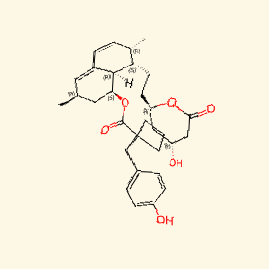 C[C@H]1C=C2C=C[C@H](C)[C@H](CC[C@@H]3C[C@@H](O)CC(=O)O3)[C@H]2[C@@H](OC(=O)C2(Cc3ccc(O)cc3)CCC2)C1